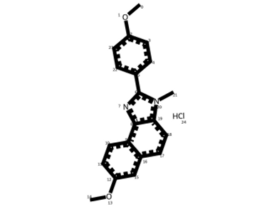 COc1ccc(-c2nc3c4ccc(OC)cc4ccc3n2C)cc1.Cl